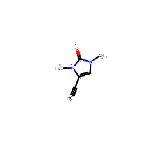 C#Cc1cn(C)c(=O)n1C